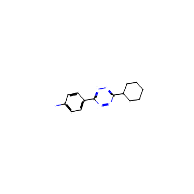 Nc1ccc(-c2nnc(C3CCCCC3)nn2)cc1